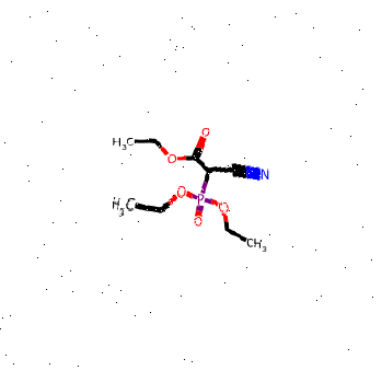 CCOC(=O)C(C#N)P(=O)(OCC)OCC